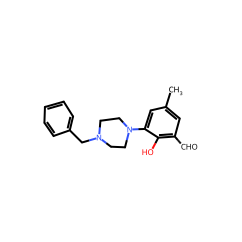 Cc1cc(C=O)c(O)c(N2CCN(Cc3ccccc3)CC2)c1